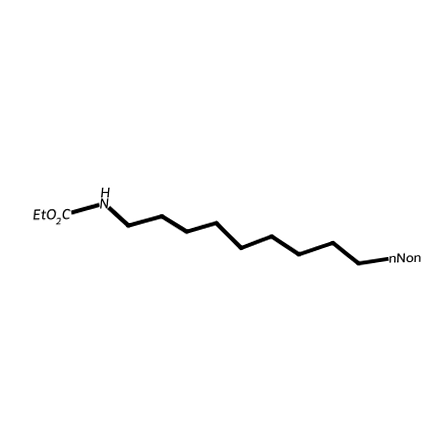 CCCCCCCCCCCCCCCCCCNC(=O)OCC